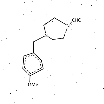 COc1ccc(CN2CCN(C=O)CC2)cc1